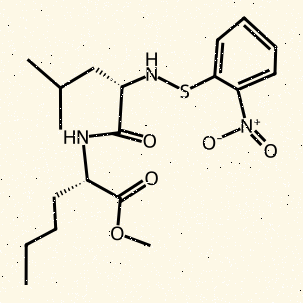 CCCC[C@H](NC(=O)[C@H](CC(C)C)NSc1ccccc1[N+](=O)[O-])C(=O)OC